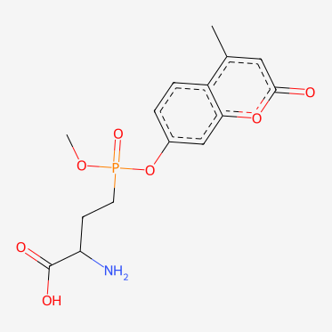 COP(=O)(CCC(N)C(=O)O)Oc1ccc2c(C)cc(=O)oc2c1